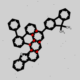 CC1(C)c2ccccc2-c2ccc(-c3ccc(N(c4cccc(-c5ccccc5)c4-c4ccccc4-c4ccccc4)c4cccc5c4oc4ccccc45)cc3)cc21